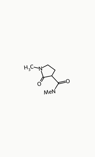 CNC(=O)C1CCN(C)C1=O